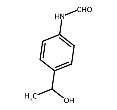 CC(O)c1ccc(NC=O)cc1